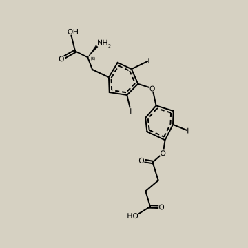 N[C@@H](Cc1cc(I)c(Oc2ccc(OC(=O)CCC(=O)O)c(I)c2)c(I)c1)C(=O)O